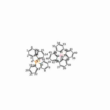 c1ccc(C[P+](c2ccccc2)(c2ccccc2)c2ccccc2)cc1.c1ccc([B-](c2ccccc2)(c2ccccc2)c2ccccc2)cc1